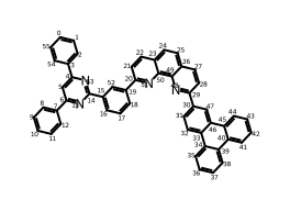 c1ccc(-c2cc(-c3ccccc3)nc(-c3cccc(-c4ccc5ccc6ccc(-c7ccc8c9ccccc9c9ccccc9c8c7)nc6c5n4)c3)n2)cc1